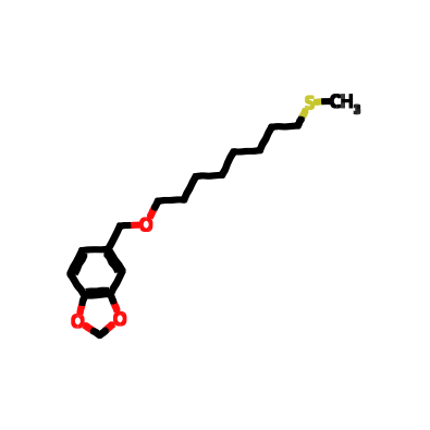 CSCCCCCCCCOCc1ccc2c(c1)OCO2